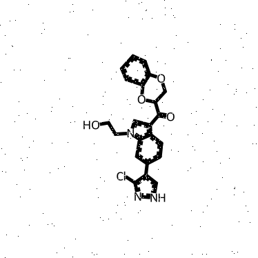 O=C(c1cn(CCO)c2cc(-c3c[nH]nc3Cl)ccc12)C1COc2ccccc2O1